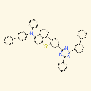 c1ccc(-c2ccc(N(c3ccccc3)c3ccc4c5c(cccc35)-c3ccc(-c5nc(-c6ccccc6)nc(-c6cccc(-c7ccccc7)c6)n5)cc3S4)cc2)cc1